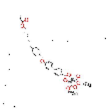 C=CC(=O)OCCCCCCC1CCC(COc2ccc(-c3ccc(C4O[C@@H](C(=O)OCCCC)[C@H](C(=O)OCCCC)O4)cc3)cc2)CC1